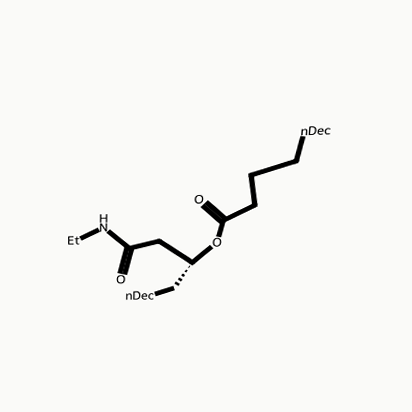 CCCCCCCCCCCCCC(=O)O[C@H](CCCCCCCCCCC)CC(=O)NCC